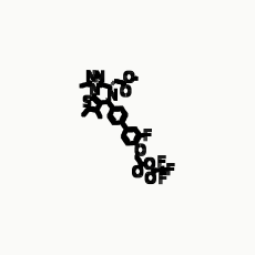 COC(=O)C[C@@H]1N=C(c2ccc(-c3ccc(OCC(=O)OC(=O)C(F)(F)F)c(F)c3)cc2)c2c(sc(C)c2C)-n2c(C)nnc21